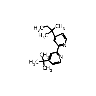 CCC(C)(C)c1ccnc(-c2cc(C(C)(C)C)ccn2)c1